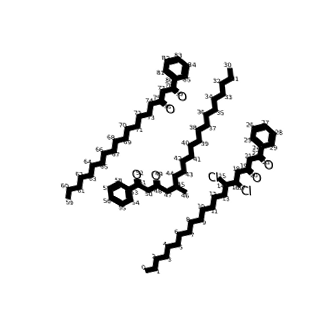 CCCCCCCCCCCCCCC(Cl)C(Cl)CC(=O)CC(=O)c1ccccc1.CCCCCCCCCCCCCCCC(C)CC(=O)CC(=O)c1ccccc1.CCCCCCCCCCCCCCCCC(=O)CC(=O)c1ccccc1